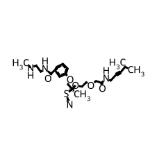 CNCCNC(=O)c1cccc(OC[C@](C)(OCCOCC(=O)NCC#CC(C)C)SC#N)c1